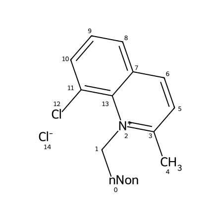 CCCCCCCCCC[n+]1c(C)ccc2cccc(Cl)c21.[Cl-]